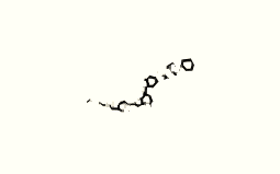 CCOCCNCc1ccc(-c2cc3nccc(Oc4ccc(NC(=O)N5CCN(c6ccccc6)C5=S)cc4F)c3s2)nc1